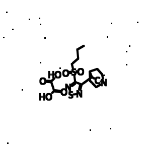 CCCCS(=O)(=O)c1nsnc1C1CN2CCC1CC2.O=C(O)C(=O)O